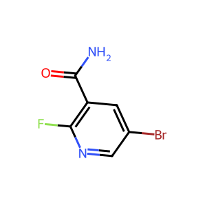 NC(=O)c1cc(Br)cnc1F